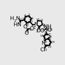 N=C(N)c1cccc(CN2CC[C@H](NS(=O)(=O)c3cc4nc(Cl)ccc4s3)C2=O)c1OC(=O)C(F)(F)F